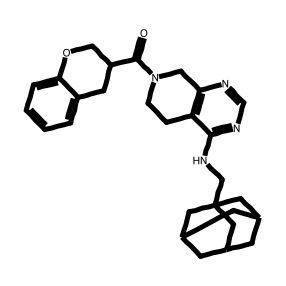 O=C(C1COc2ccccc2C1)N1CCc2c(ncnc2NCC23CC4CC(CC(C4)C2)C3)C1